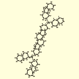 c1ccc2cc(N(c3ccc4c(c3)oc3c4ccc4c3ccc3c5ccc(N(c6ccc7ccccc7c6)c6ccc7sc8ccccc8c7c6)cc5oc34)c3ccc4sc5ccccc5c4c3)ccc2c1